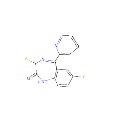 O=C1Nc2ccc(F)cc2C(c2ccccn2)=NC1F